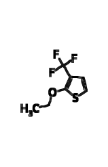 CCOc1sccc1C(F)(F)F